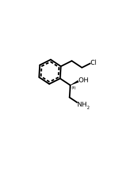 NC[C@H](O)c1ccccc1CCCl